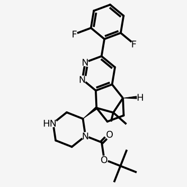 CC(C)(C)OC(=O)N1CCNC[C@H]1C12CC[C@@H](c3cc(-c4c(F)cccc4F)nnc31)C2(C)C